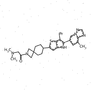 Cc1cc(-c2[nH]c3cc(C4CCC5(CC4)CN(C(=O)CN(C)C)C5)sc3c2C(C)C)cn2ncnc12